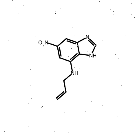 C=CCNc1cc([N+](=O)[O-])cc2nc[nH]c12